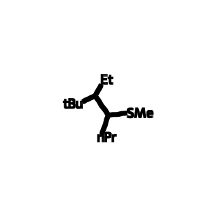 CCCC(SC)C(CC)C(C)(C)C